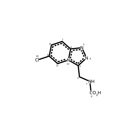 O=C(O)NCc1nnc2ccc(Cl)cn12